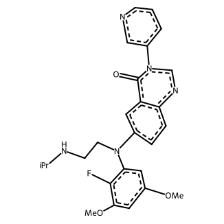 COc1cc(OC)c(F)c(N(CCNC(C)C)c2ccc3ncn(-c4cccnc4)c(=O)c3c2)c1